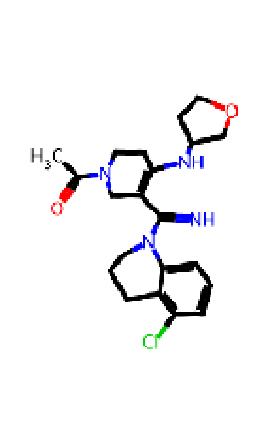 CC(=O)N1CCC(NC2CCOC2)=C(C(=N)N2CCCc3c(Cl)cccc32)C1